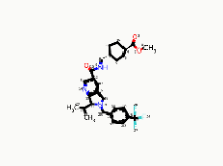 COC(=O)[C@H]1CC[C@H](CNC(=O)c2cnc3c(c2)CN(Cc2ccc(C(F)(F)F)cc2)C3C(C)C)CC1